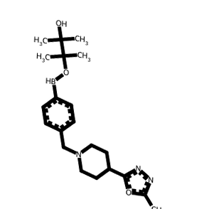 Cc1nnc(C2CCN(Cc3ccc(BOC(C)(C)C(C)(C)O)cc3)CC2)o1